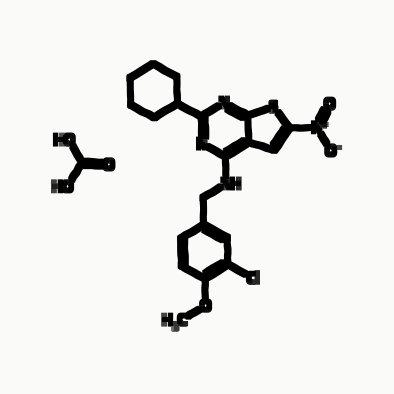 COc1ccc(CNc2nc(C3CCCCC3)nc3sc([N+](=O)[O-])cc23)cc1Cl.O=C(O)O